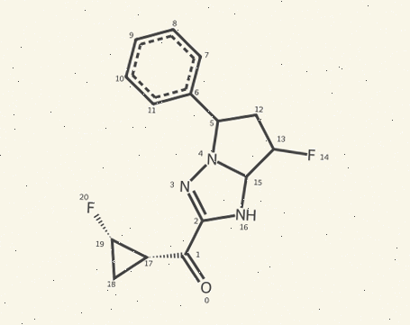 O=C(C1=NN2C(c3ccccc3)CC(F)C2N1)[C@@H]1C[C@@H]1F